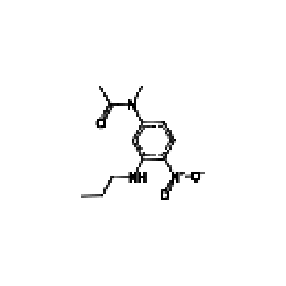 CCCNc1cc(N(C)C(C)=O)ccc1[N+](=O)[O-]